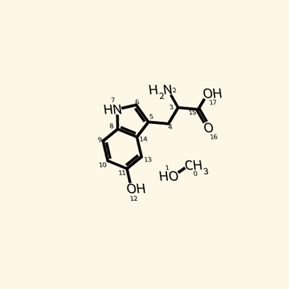 CO.NC(Cc1c[nH]c2ccc(O)cc12)C(=O)O